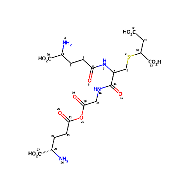 NC(CCC(=O)NC(CSC(CC(=O)O)C(=O)O)C(=O)NCC(=O)OC(=O)CC[C@H](N)C(=O)O)C(=O)O